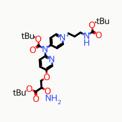 CC(C)(C)OC(=O)NCCC[n+]1ccc(N(C(=O)OC(C)(C)C)c2ccc(OCC(ON)C(=O)OC(C)(C)C)cn2)cc1